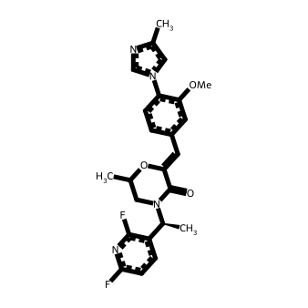 COc1cc(C=C2OC(C)CN([C@@H](C)c3ccc(F)nc3F)C2=O)ccc1-n1cnc(C)c1